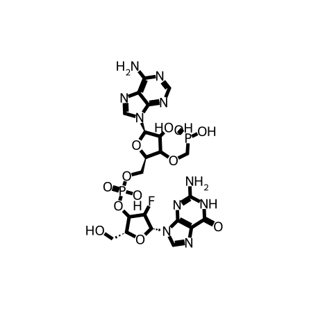 Nc1nc2c(ncn2[C@@H]2O[C@H](CO)C(OP(=O)(O)OC[C@H]3O[C@@H](n4cnc5c(N)ncnc54)C(O)C3OC[PH](=O)O)C2F)c(=O)[nH]1